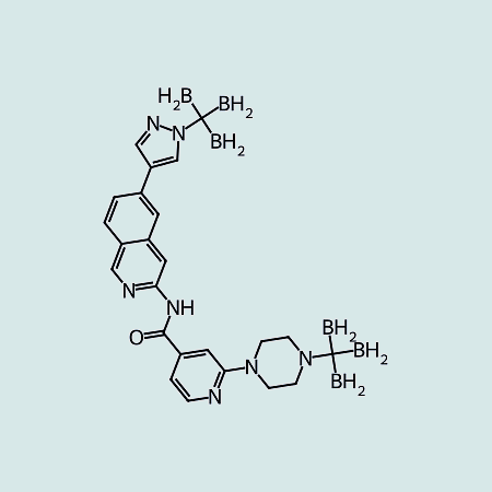 BC(B)(B)N1CCN(c2cc(C(=O)Nc3cc4cc(-c5cnn(C(B)(B)B)c5)ccc4cn3)ccn2)CC1